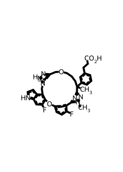 Cc1c2nnn1Cc1c(c(F)cc3[nH]ccc13)Oc1ccc(F)c(c1)-c1nc(nn1C)C(C)(c1cccc(CCC(=O)O)c1)CCCOC2